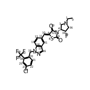 CCN1C[C@@H](N2C(=O)SC(=Cc3ccc4c(cnn4Cc4ccc(Cl)cc4C(F)(F)F)c3)C2=O)[C@@H](F)C1